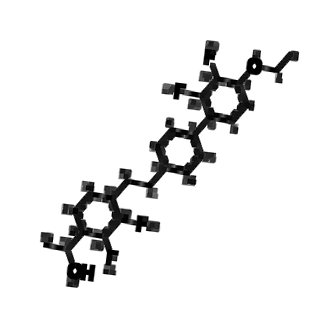 CCOc1ccc(-c2ccc(CCc3ccc(C(C)O)c(F)c3F)cc2)c(F)c1F